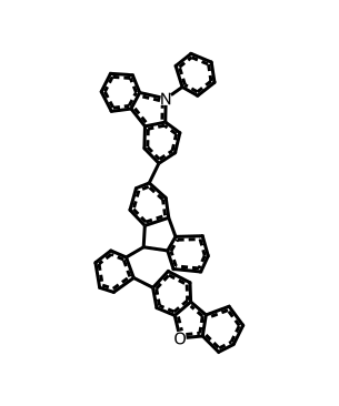 c1ccc(-n2c3ccccc3c3cc(-c4ccc5c(c4)-c4ccccc4C5c4ccccc4-c4ccc5c(c4)oc4ccccc45)ccc32)cc1